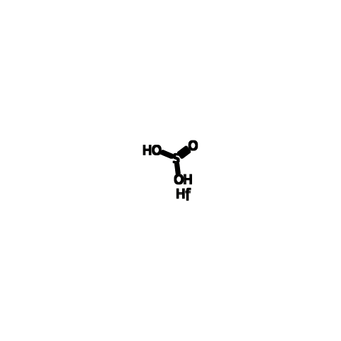 O=S(O)O.[Hf]